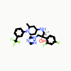 CC1CC(N[C@H](C)[C@](O)(Cn2cncn2)c2ccc(F)cc2F)CCN1c1cccc(C(F)(F)F)c1